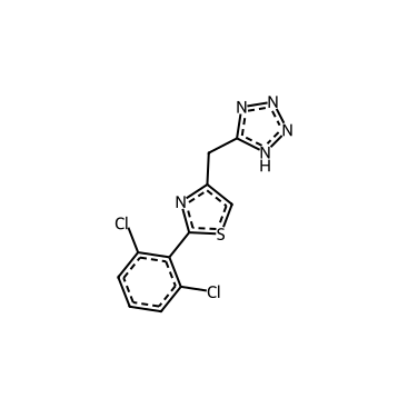 Clc1cccc(Cl)c1-c1nc(Cc2nnn[nH]2)cs1